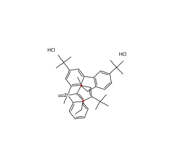 Cl.Cl.[CH2]=[Zr]([CH3])([C]1=C(CC)C(C(C)(C)C)=CC1C)([c]1ccccc1)[c]1cc(C(C)(C)C)cc2c1Cc1ccc(C(C)(C)C)cc1-2